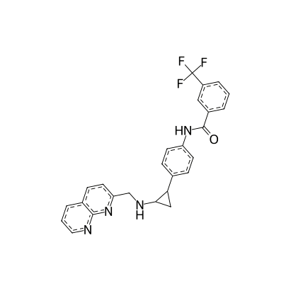 O=C(Nc1ccc(C2CC2NCc2ccc3cccnc3n2)cc1)c1cccc(C(F)(F)F)c1